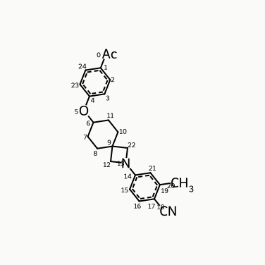 CC(=O)c1ccc(OC2CCC3(CC2)CN(c2ccc(C#N)c(C)c2)C3)cc1